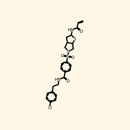 C=CC(=O)NC1CC2CN(S(=O)(=O)c3ccc(C(=O)NCCc4ccc(Cl)cc4)cc3)CC2S1